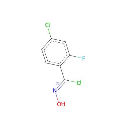 O/N=C(\Cl)c1ccc(Cl)cc1F